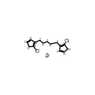 ClC1=C(CCCCCC2=C(Cl)CC=C2)C=CC1.[Zr]